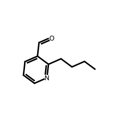 CCCCc1ncccc1C=O